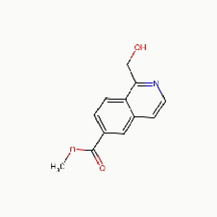 COC(=O)c1ccc2c(CO)nccc2c1